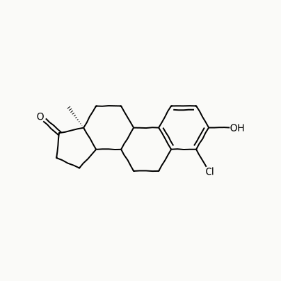 C[C@]12CCC3c4ccc(O)c(Cl)c4CCC3C1CCC2=O